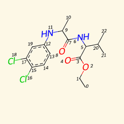 CCOC(=O)C(NC(=O)C(C)Nc1ccc(Cl)c(Cl)c1)C(C)C